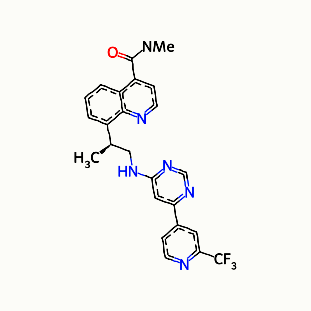 CNC(=O)c1ccnc2c([C@H](C)CNc3cc(-c4ccnc(C(F)(F)F)c4)ncn3)cccc12